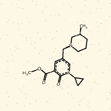 COC(=O)c1cc(CN2CCC[C@H](C)C2)cn(C2CC2)c1=O